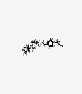 CC(C)c1ccc(CCOCN2CCN(c3nccc(Cl)n3)CC2)cc1